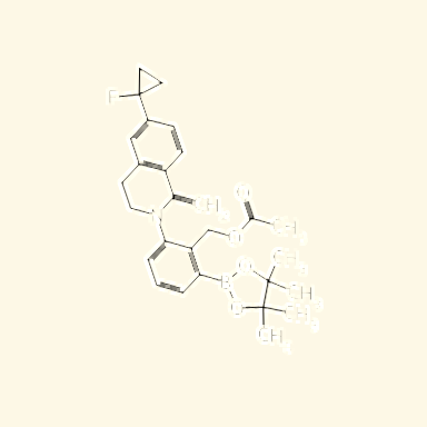 C=C1c2ccc(C3(F)CC3)cc2CCN1c1cccc(B2OC(C)(C)C(C)(C)O2)c1COC(C)=O